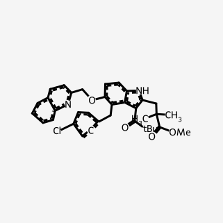 COC(=O)C(C)(C)Cc1[nH]c2ccc(OCc3ccc4ccccc4n3)c(Cc3ccc(Cl)cc3)c2c1C(=O)C(C)(C)C